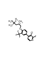 C[C@H](COc1ccc(-c2ccnc(F)c2Cl)cc1C(F)(F)F)CC(C)(C)N